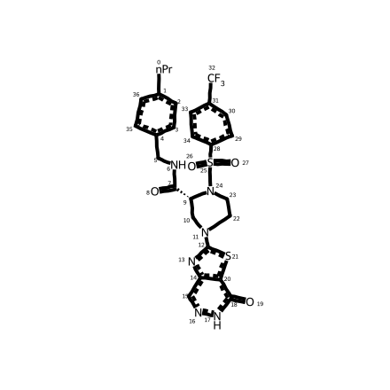 CCCc1ccc(CNC(=O)[C@H]2CN(c3nc4cn[nH]c(=O)c4s3)CCN2S(=O)(=O)c2ccc(C(F)(F)F)cc2)cc1